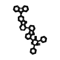 C1=c2c(oc3cc(-n4c5ccccc5c5ccccc54)ccc23)=C(c2cccc3sc4c(C5=NC(c6ccccc6)NC(c6ccccc6)N5)cccc4c23)CC1